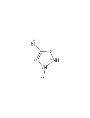 CCC1=CN(C)NC1